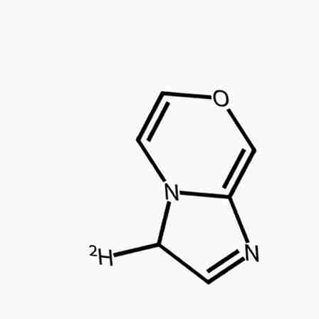 [2H]C1C=NC2=COC=CN21